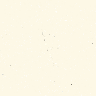 CCCCCCCCCCCCOS(=O)(=O)O.N.[NaH]